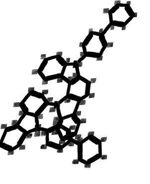 c1ccc(-c2ccc(-n3c4ccccc4c4c3ccc3c5ccccc5n(-c5cccc6c7ccccc7n(-c7ccc(-c8ccccc8)cc7)c56)c34)cc2)cc1